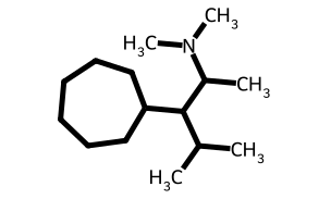 CC(C)C(C1CCCCCC1)C(C)N(C)C